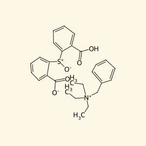 CC[N+](CC)(CC)Cc1ccccc1.O=C([O-])c1ccccc1[S+]([O-])c1ccccc1C(=O)O